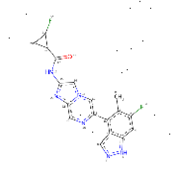 Cc1c(F)cc2[nH]ncc2c1-c1cn2cc(NC(=O)C3CC3F)nc2cn1